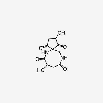 O=C1CC(O)C(=O)NC2(CN1)C(=O)CC(O)C2=O